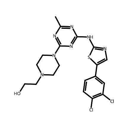 Cc1nc(Nc2ncc(-c3ccc(Cl)c(Cl)c3)s2)nc(N2CCN(CCO)CC2)n1